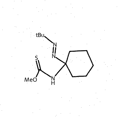 COC(=S)NC1(N=NC(C)(C)C)CCCCC1